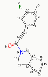 Cc1ccc(C#CC(=O)N2CCc3ccccc3C2)cc1F